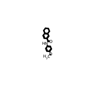 COc1ccc(NC(=O)c2ccc3c(c2)CCCC3)cc1